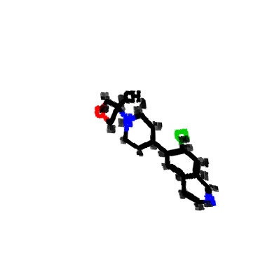 CC1(N2CCC(c3cc4ccncc4cc3Cl)CC2)COC1